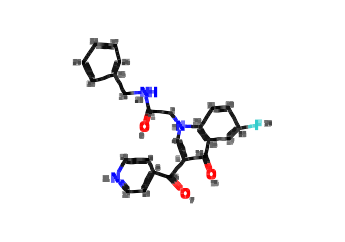 O=C(Cn1cc(C(=O)c2ccncc2)c(=O)c2cc(F)ccc21)NCc1ccccc1